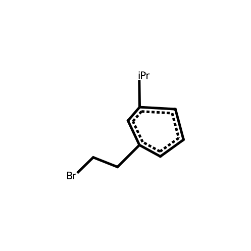 CC(C)c1cccc(CCBr)c1